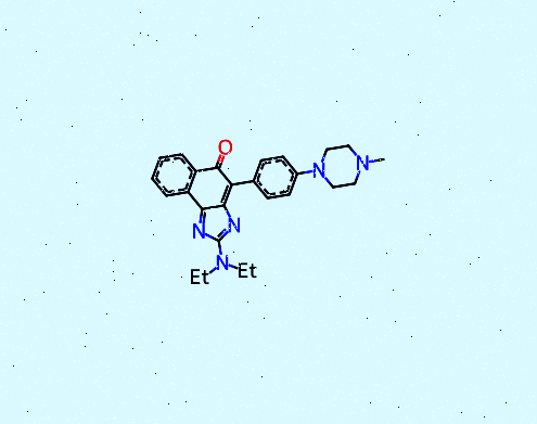 CCN(CC)C1=NC2=C(c3ccc(N4CCN(C)CC4)cc3)C(=O)c3ccccc3C2=N1